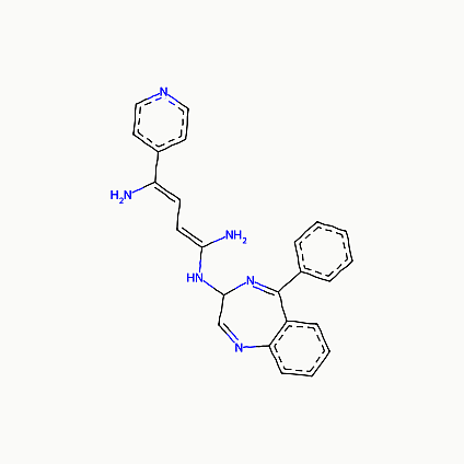 N/C(=C\C=C(/N)NC1C=Nc2ccccc2C(c2ccccc2)=N1)c1ccncc1